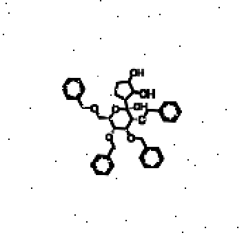 OC1CCC([C@]2(O)O[C@H](COCc3ccccc3)[C@@H](OCc3ccccc3)[C@H](OCc3ccccc3)[C@H]2OCc2ccccc2)C1O